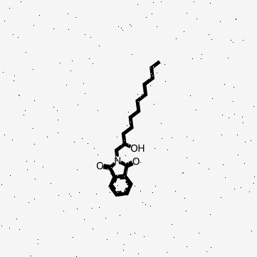 CCCCCCCCCCC(O)CN1C(=O)c2ccccc2C1=O